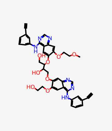 C#Cc1cccc(Nc2ncnc3cc(OCC(O)C(CO)Oc4cc5c(Nc6cccc(C#C)c6)ncnc5cc4OCCOC)c(OCCO)cc23)c1